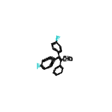 O=CC(=C(c1ccc(F)cc1)c1ccc(F)cc1)C1CCCCC1